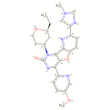 CC[C@H]1C[C@@H](n2c(=O)nc(-c3ccc(OC)cn3)c3oc4ccc(-c5cn(C)cn5)nc4c32)CCO1